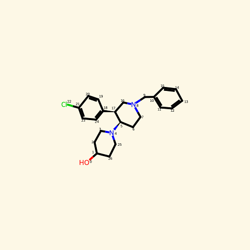 OC1CCN([C@@H]2CCN(Cc3ccccc3)C[C@@H]2c2ccc(Cl)cc2)CC1